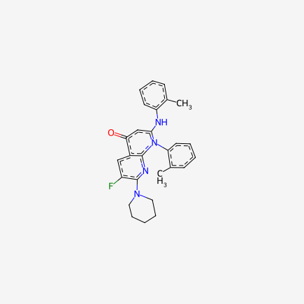 Cc1ccccc1Nc1cc(=O)c2cc(F)c(N3CCCCC3)nc2n1-c1ccccc1C